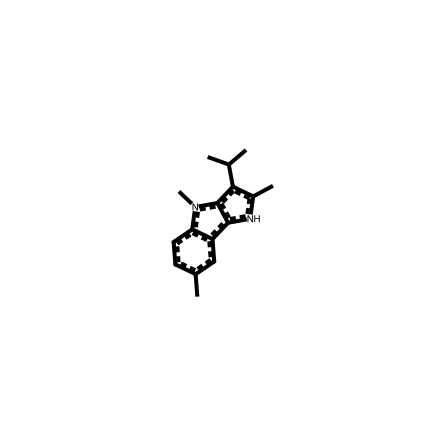 Cc1ccc2c(c1)c1[nH]c(C)c(C(C)C)c1n2C